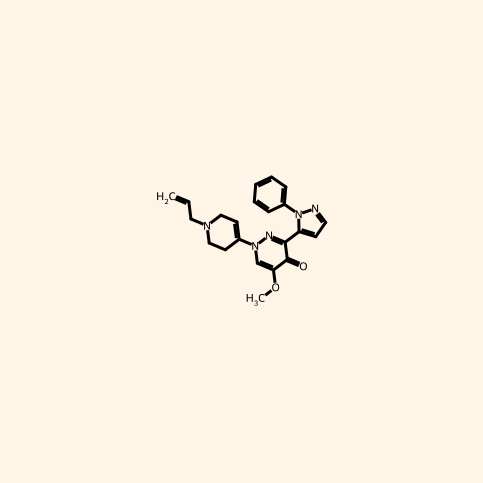 C=CCN1CC=C(n2cc(OC)c(=O)c(-c3ccnn3-c3ccccc3)n2)CC1